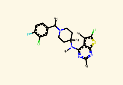 [2H]c1nc(N([2H])C2([2H])CCN(C([2H])c3ccc(F)c(Cl)c3)CC2)c2c([2H])c(Cl)sc2n1